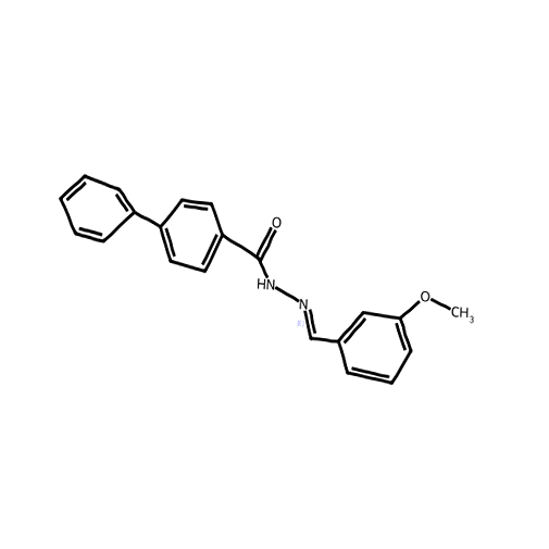 COc1cccc(/C=N/NC(=O)c2ccc(-c3ccccc3)cc2)c1